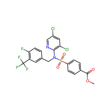 COC(=O)c1ccc(S(=O)(=O)N(Cc2ccc(F)c(C(F)(F)F)c2)c2ncc(Cl)cc2Cl)cc1